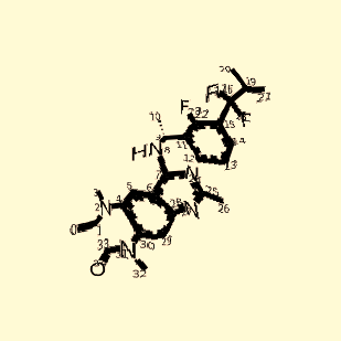 CCN(C)c1cc2c(N[C@H](C)c3cccc(C(F)(F)C(C)C)c3F)nc(C)nc2cc1N(C)C=O